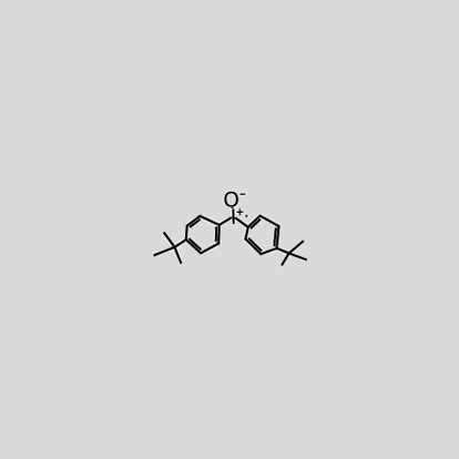 CC(C)(C)c1ccc([I+]([O-])c2ccc(C(C)(C)C)cc2)cc1